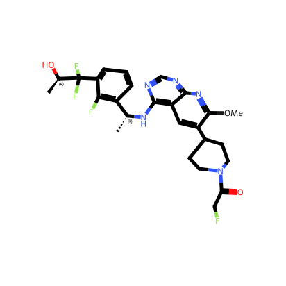 COc1nc2ncnc(N[C@H](C)c3cccc(C(F)(F)[C@@H](C)O)c3F)c2cc1C1CCN(C(=O)CF)CC1